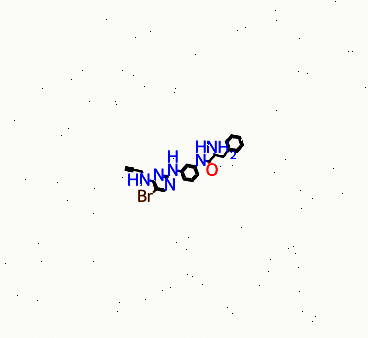 C#CCNc1nc(Nc2cccc(NC(=O)C(N)Cc3ccccc3)c2)ncc1Br